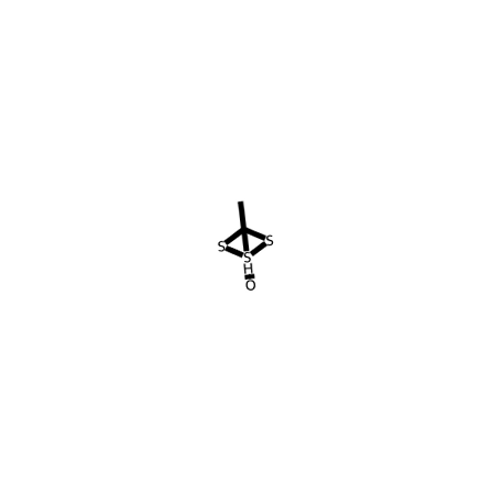 CC12S[SH]1(=O)S2